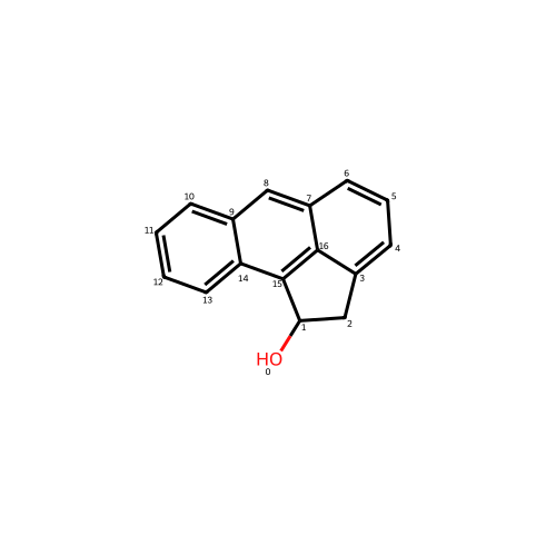 OC1Cc2cccc3cc4ccccc4c1c23